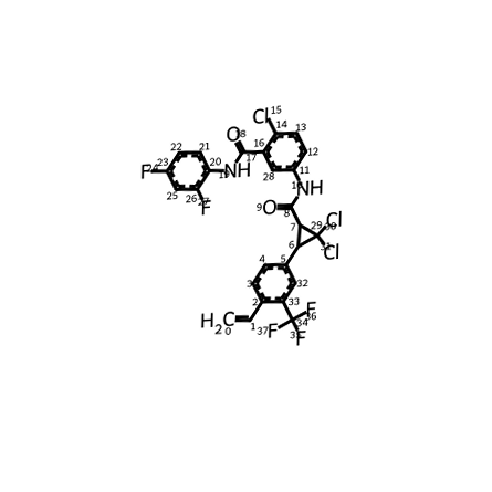 C=Cc1ccc(C2C(C(=O)Nc3ccc(Cl)c(C(=O)Nc4ccc(F)cc4F)c3)C2(Cl)Cl)cc1C(F)(F)F